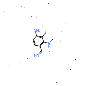 CNc1c(C=N)ccc(N)c1I